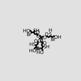 O=C(CC(S)C(Br)CO)OCC(COC(=O)CC(S)C(Br)CO)(COC(=O)CC(S)C(Br)CO)COC(=O)CC(S)C(Br)CO